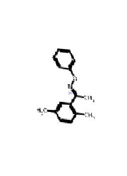 C/C(=N\Oc1ccccc1)c1cc(C)ccc1C